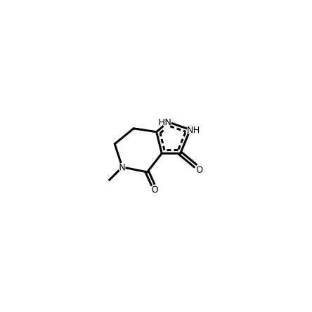 CN1CCc2[nH][nH]c(=O)c2C1=O